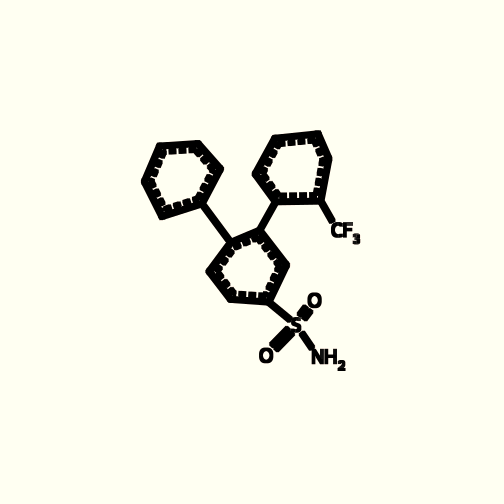 NS(=O)(=O)c1ccc(-c2ccccc2)c(-c2ccccc2C(F)(F)F)c1